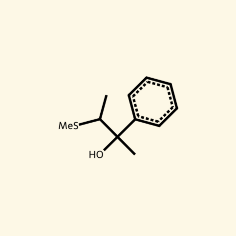 CSC(C)C(C)(O)c1ccccc1